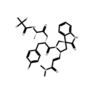 C[C@H](NC(=O)C(C)(F)F)C(=O)C[C@@H](Cc1ccc(F)cc1)C(=O)N1C[C@]2(C[C@H]1/C=C/C(=O)N(C)C)C(=O)Nc1ccccc12